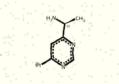 CC(C)c1cc([C@H](C)N)ncn1